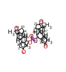 C[C@]12CCC(=O)CC1C(O[N+](=O)OC1C[C@@H]3[C@@H](CC[C@]4(C)C(=O)CC[C@@H]34)[C@@]3(C)CCC(=O)CC13)C[C@@H]1[C@H]2CC[C@]2(C)C(=O)CC[C@@H]12